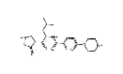 CC(C)CC(NC(=O)c1ccc(N2CCNCC2)cc1)C(=O)C1CNCC1=O